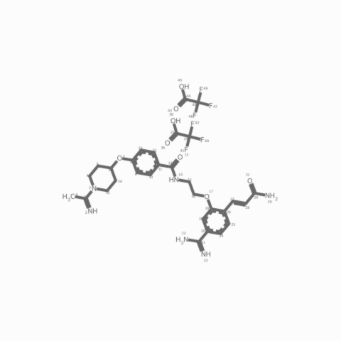 CC(=N)N1CCC(Oc2ccc(C(=O)NCCOc3cc(C(=N)N)ccc3C=CC(N)=O)cc2)CC1.O=C(O)C(F)(F)F.O=C(O)C(F)(F)F